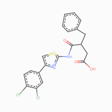 O=C(O)CC(Cc1ccccc1)C(=O)Nc1nc(-c2ccc(Cl)c(Cl)c2)cs1